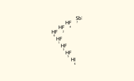 F.F.F.F.F.F.I.[Sb]